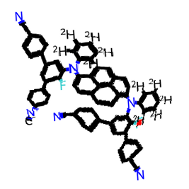 [2H]c1c([2H])c([2H])c(N(c2cc(-c3ccc(C#N)cc3)cc(-c3ccc(C#N)cc3)c2F)c2ccc3ccc4c(N(c5cc(-c6ccc(C#N)cc6)cc(-c6ccc([N+]#[C-])cc6)c5F)c5c([2H])c([2H])c([2H])c([2H])c5[2H])ccc5ccc2c3c54)c([2H])c1[2H]